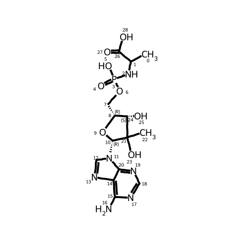 CC(NP(=O)(O)OC[C@H]1O[C@@H](n2cnc3c(N)ncnc32)C(C)(O)[C@H]1O)C(=O)O